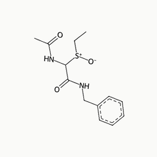 CC[S+]([O-])C(NC(C)=O)C(=O)NCc1ccccc1